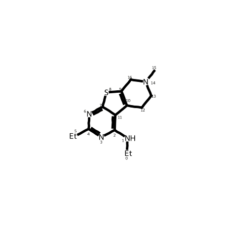 CCNc1nc(CC)nc2sc3c(c12)CCN(C)C3